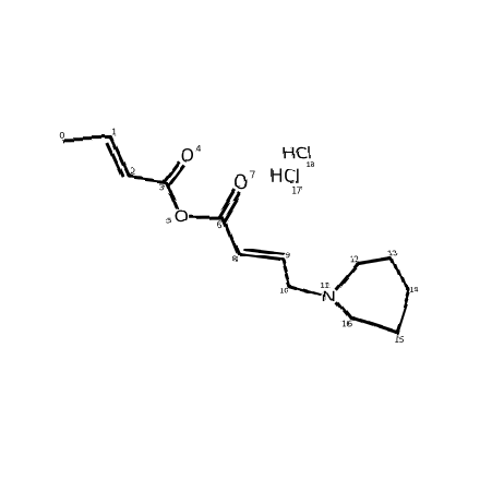 CC=CC(=O)OC(=O)C=CCN1CCCCC1.Cl.Cl